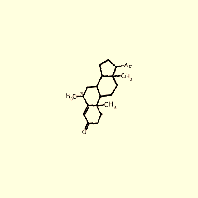 CC(=O)C1CCC2C3C[C@H](C)C4=CC(=O)CCC4(C)C3CCC12C